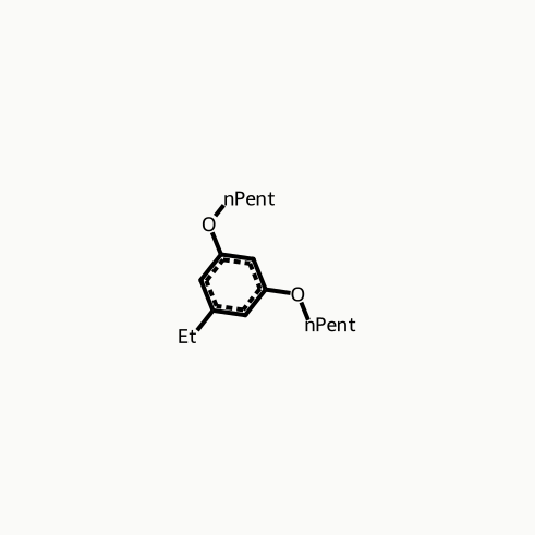 [CH2]Cc1cc(OCCCCC)cc(OCCCCC)c1